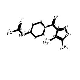 Cc1onc(C(=O)N2CCC(NC(=O)O)CC2)c1C